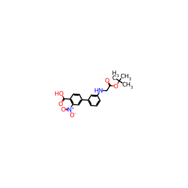 CC(C)(C)OC(=O)CNc1cccc(-c2ccc(C(=O)O)c([N+](=O)[O-])c2)c1